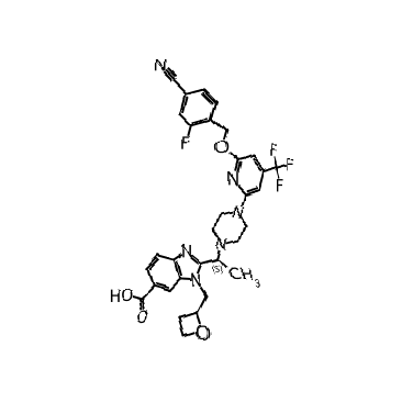 C[C@@H](c1nc2ccc(C(=O)O)cc2n1CC1CCO1)N1CCN(c2cc(C(F)(F)F)cc(OCc3ccc(C#N)cc3F)n2)CC1